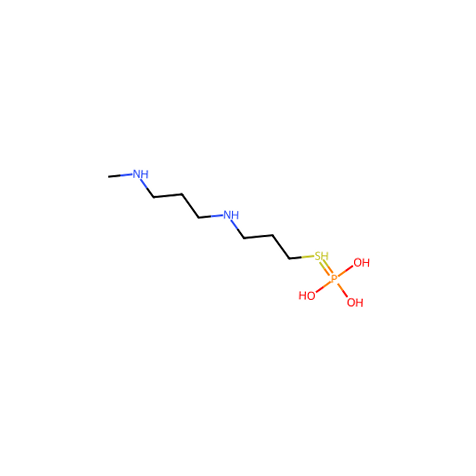 CNCCCNCCC[SH]=P(O)(O)O